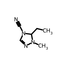 CCC1N(C#N)C=NN1C